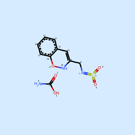 NC(=O)O.O=S(=O)=NCC1=Cc2ccccc2ON1